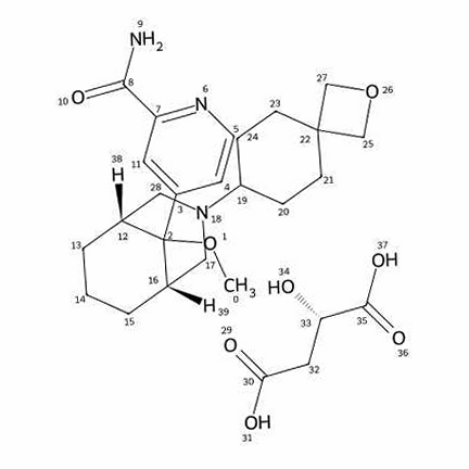 COC1(c2ccnc(C(N)=O)c2)[C@@H]2CCC[C@H]1CN(C1CCC3(CC1)COC3)C2.O=C(O)C[C@H](O)C(=O)O